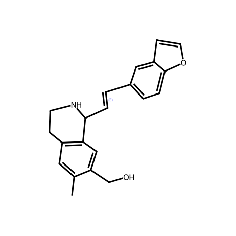 Cc1cc2c(cc1CO)C(/C=C/c1ccc3occc3c1)NCC2